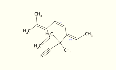 C=CC(/C=C\C(=C/C)C(C)(C)C#N)=C(C)C